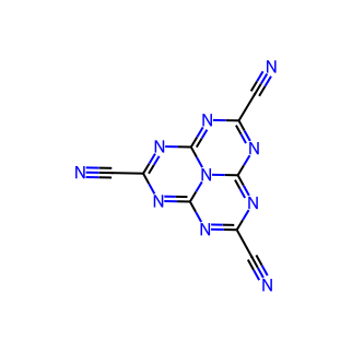 N#CC1=NC2=NC(C#N)=NC3=NC(C#N)=NC(=N1)N23